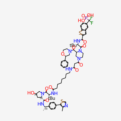 Cc1ncsc1-c1ccc([C@H](C)NC(=O)[C@@H]2C[C@@H](O)CN2C(=O)C(NC(=O)CCCCCCCNC(=O)CC(=O)N2CCN(C(=O)C(NC(=O)c3cc4cc(C(F)(F)P(=O)(O)O)ccc4s3)C(C)(C)C)C(C(=O)N3CCOC(c4ccccc4)C3)C2)C(C)(C)C)cc1